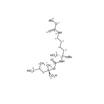 CC(C[C@](C)(OC(=O)N[C@](CCCCNC(=O)OC(C)(C)C)(C(=O)O)C(C)(C)C)C(=O)O)C(=O)O